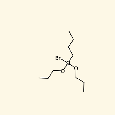 CCCC[Si](Br)(OCCC)OCCC